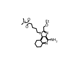 CCOCc1nc2c(N)nc3c(c2n1CCCCS(=O)(=O)N(C)C)CCCC3